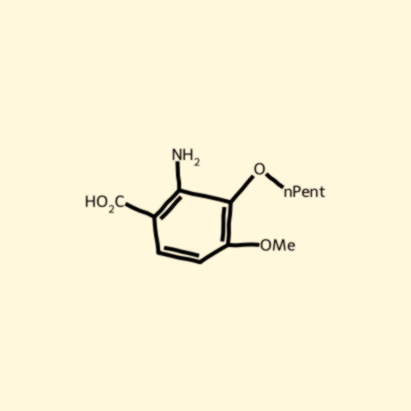 CCCCCOc1c(OC)ccc(C(=O)O)c1N